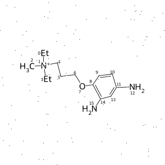 CC[N+](C)(CC)CCCOc1ccc(N)cc1N